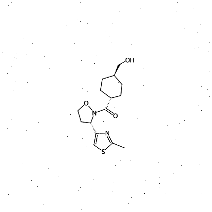 Cc1nc([C@@H]2CCON2C(=O)[C@H]2CC[C@H](CO)CC2)cs1